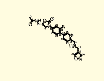 CC(=O)NC[C@H]1CN(c2ccc(-c3ccc(CNCc4cnoc4)nc3)c(F)c2)C(=O)O1